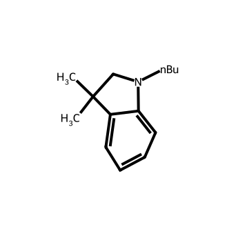 CCCCN1CC(C)(C)c2ccccc21